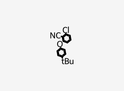 CC(C)(C)c1ccc(Oc2cccc(Cl)c2C#N)cc1